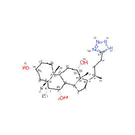 CC[C@H]1[C@@H](O)C2C3CC[C@H]([C@H](C)CCc4nnn[nH]4)[C@@]3(C)[C@@H](O)CC2[C@@]2(C)CC[C@@H](O)C[C@@H]12